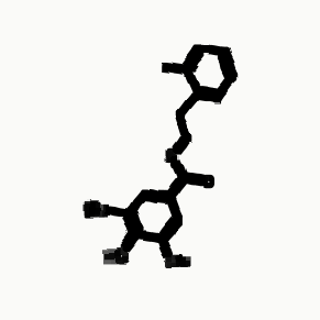 Cc1ccccc1CCSC(=O)c1cc(C(C)(C)C)c(O)c(C(C)(C)C)c1